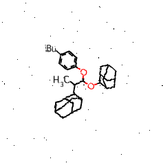 CCC(C)c1ccc(OC(OC2C3CC4CC(C3)CC2C4)C(C)C2C3CC4CC(C3)CC2C4)cc1